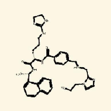 C[C@H](NC(=O)[C@H](CCCNC1=NCCN1)NC(=O)c1ccc(CNCc2nccn2CCO)cc1)c1cccc2ccccc12